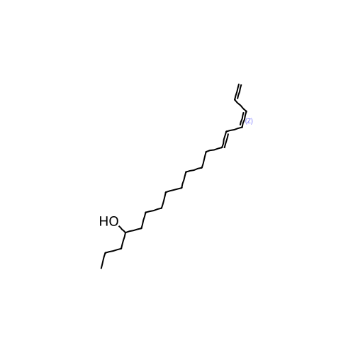 C=C/C=C\C=CCCCCCCCCC(O)CCC